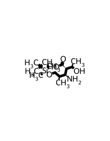 C[C@@H](O)[C@@H](C(=O)O)[C@H](N)[C@@H](C)CO[Si](C)(C)C(C)(C)C